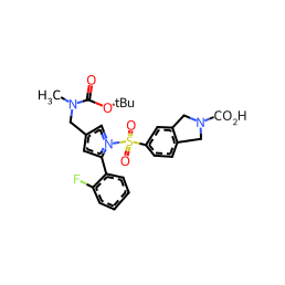 CN(Cc1cc(-c2ccccc2F)n(S(=O)(=O)c2ccc3c(c2)CN(C(=O)O)C3)c1)C(=O)OC(C)(C)C